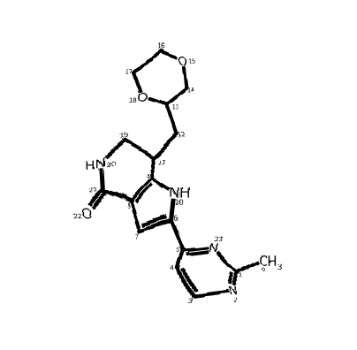 Cc1nccc(-c2cc3c([nH]2)C(CC2COCCO2)CNC3=O)n1